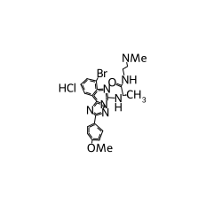 CNCCNC(=O)[C@@H](C)Nc1nc2c(Br)cccc2c2nc(-c3ccc(OC)cc3)nn12.Cl